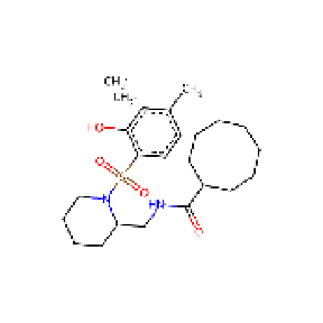 Cc1ccc(S(=O)(=O)N2CCCCC2CNC(=O)[C]2CCCCCCC2)c(O)c1.[CH2].[CH2]